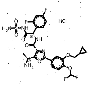 C[C@H](N)c1oc(-c2ccc(OC(F)F)c(OCC3CC3)c2)nc1C(=O)N[C@H](C(=O)NS(N)(=O)=O)c1ccc(F)cc1F.Cl